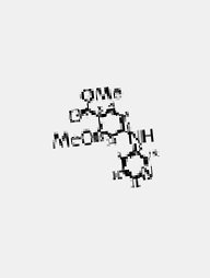 COC(=O)c1ccc(Nc2cccnc2)cc1OC